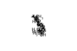 CN(C(=O)O)C(c1cc(Oc2ccc3c(ccn3C(=O)Nc3cc(C4CC4)n(C)n3)c2)ccn1)C(C)(C)C